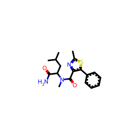 Cc1nc(C(=O)N(C)C(CC(C)C)C(N)=O)c(-c2ccccc2)s1